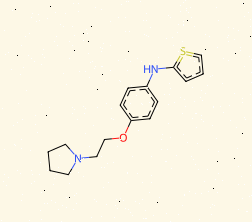 c1csc(Nc2ccc(OCCN3CCCC3)cc2)c1